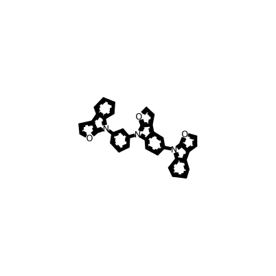 c1cc(-n2c3ccccc3c3ccoc32)cc(-n2c3ccc(-n4c5ccccc5c5ccoc54)cc3c3ccoc32)c1